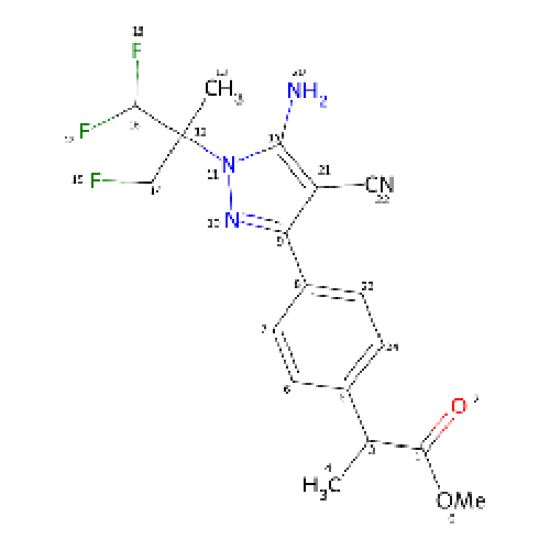 COC(=O)C(C)c1ccc(-c2nn(C(C)(CF)C(F)F)c(N)c2C#N)cc1